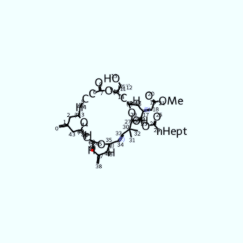 C=C1C[C@H]2CCCC(=O)O[C@@H]([C@@H](C)O)C[C@@H]3C/C(=C\C(=O)OC)[C@H](OC(=O)CCCCCCC)[C@@](O)(O3)C(C)(C)/C=C/[C@H]3CC(=C)C[C@@H](C[C@@H](C1)O2)O3